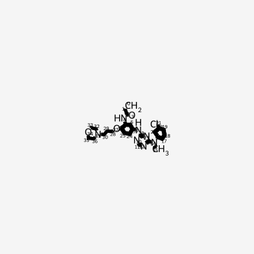 C=CC(=O)Nc1cc(Nc2ncnc(N(C)c3cccc(Cl)c3)n2)ccc1OCCCN1CCOCC1